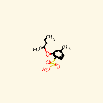 C=CCC(C)Oc1cc(C)ccc1S(=O)(=O)O